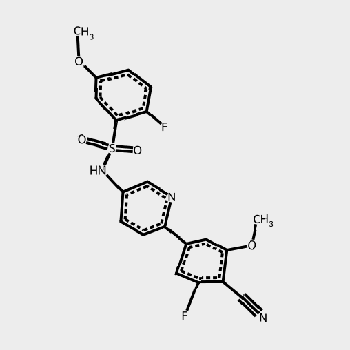 COc1ccc(F)c(S(=O)(=O)Nc2ccc(-c3cc(F)c(C#N)c(OC)c3)nc2)c1